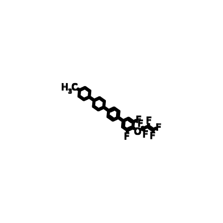 CC1CCC(C2CCC(c3ccc(-c4cc(F)c(OC(F)(F)C(F)=C(F)F)c(F)c4)cc3)CC2)CC1